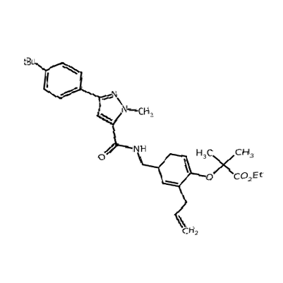 C=CCC1=CC(CNC(=O)c2cc(-c3ccc(C(C)(C)C)cc3)nn2C)CC=C1OC(C)(C)C(=O)OCC